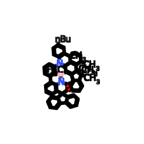 CCCCc1ccc2c(c1)C1(C)C=CC(C)C3=C1C1(C)C(=C4c5ccccc5C(C)(C)C43C)B3c4c(cccc4N21)-c1cccc2c1N3c1ccccc1C21c2ccccc2-c2ccccc21